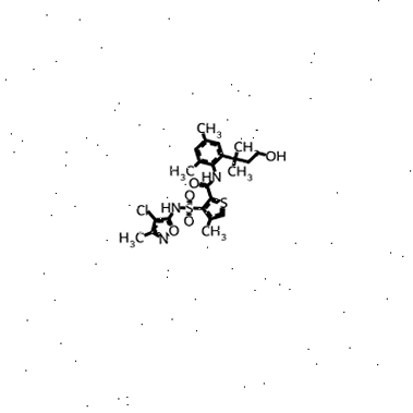 Cc1cc(C)c(NC(=O)c2scc(C)c2S(=O)(=O)Nc2onc(C)c2Cl)c(C(C)(C)CCO)c1